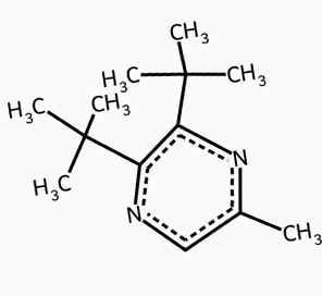 Cc1cnc(C(C)(C)C)c(C(C)(C)C)n1